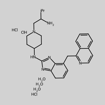 CC(C)C(N)CN1CCC(NC2=NC3=C(Cc4nccc5ccccc45)C=CCC3=N2)CC1.Cl.Cl.Cl.O.O.O